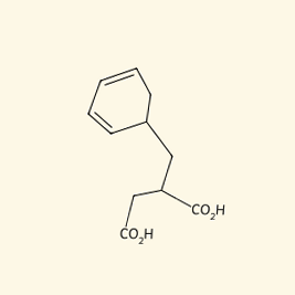 O=C(O)CC(CC1C=CC=CC1)C(=O)O